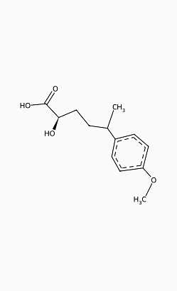 COc1ccc(C(C)CC[C@@H](O)C(=O)O)cc1